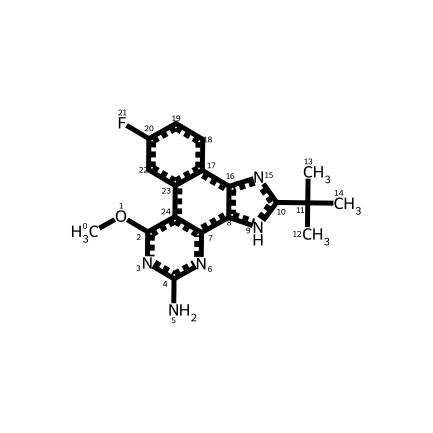 COc1nc(N)nc2c3[nH]c(C(C)(C)C)nc3c3ccc(F)cc3c12